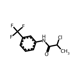 CC(Cl)C(=O)Nc1cccc(C(F)(F)F)c1